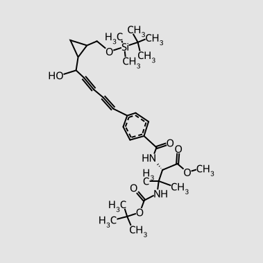 COC(=O)[C@@H](NC(=O)c1ccc(C#CC#CC(O)C2CC2CO[Si](C)(C)C(C)(C)C)cc1)C(C)(C)NC(=O)OC(C)(C)C